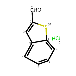 Cl.O=Cc1cc2ccccc2s1